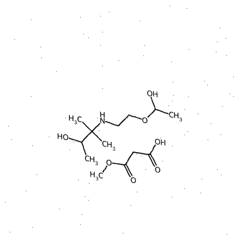 CC(O)OCCNC(C)(C)C(C)O.COC(=O)CC(=O)O